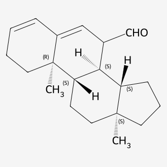 C[C@@]12CCC[C@H]1[C@@H]1C(C=O)C=C3C=CCC[C@]3(C)[C@H]1CC2